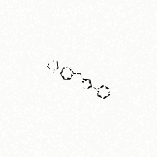 C1COCN1.c1ccc(Cc2cc(-c3ccccc3)no2)cc1